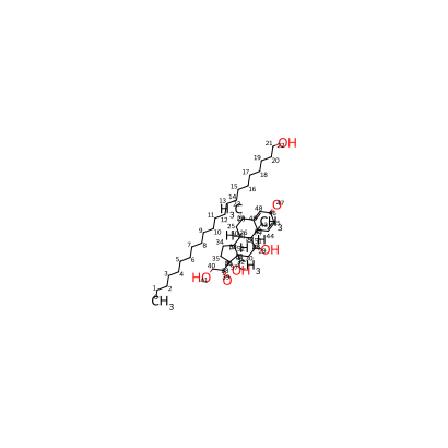 CCCCCCCCCCCCCCCCCCCCCCO.C[C@H]1C[C@@H]2[C@H]([C@@H](O)C[C@@]3(C)[C@H]2CC[C@]3(O)C(=O)CO)[C@@]2(C)C=CC(=O)C=C12